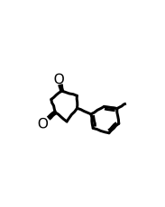 Cc1cccc(C2CC(=O)CC(=O)C2)c1